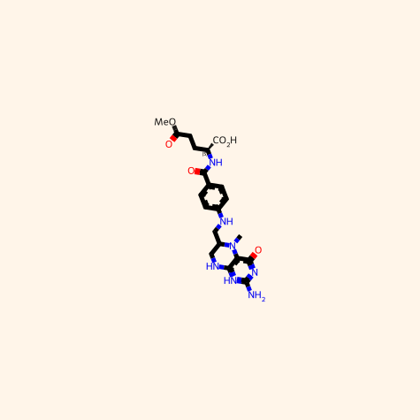 COC(=O)CC[C@H](NC(=O)c1ccc(NCC2CNc3[nH]c(N)nc(=O)c3N2C)cc1)C(=O)O